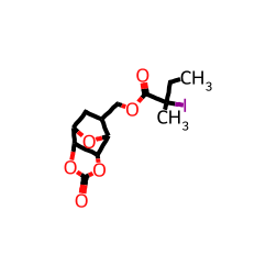 CCC(C)(I)C(=O)OCC1CC2OC1C1OC(=O)OC21